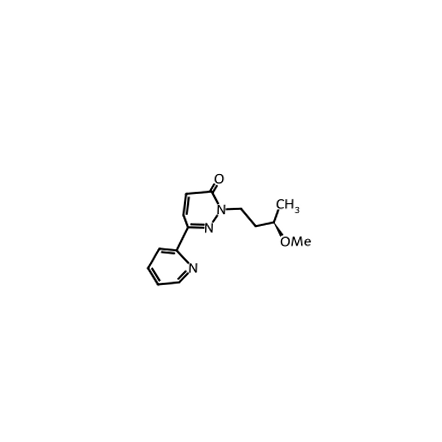 CO[C@H](C)CCn1nc(-c2ccccn2)ccc1=O